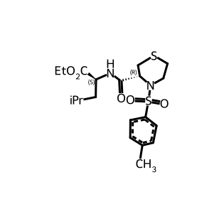 CCOC(=O)[C@H](CC(C)C)NC(=O)[C@@H]1CSCCN1S(=O)(=O)c1ccc(C)cc1